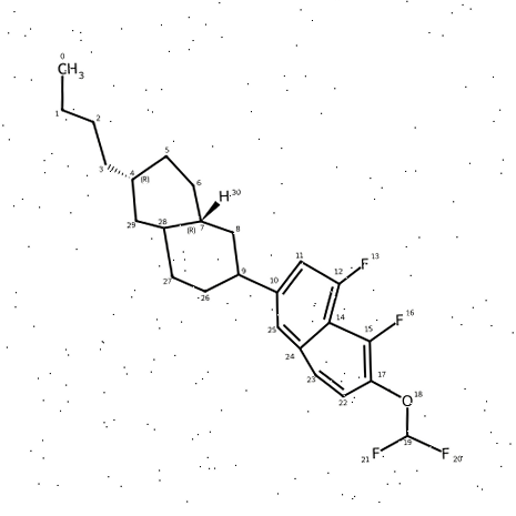 CCCC[C@@H]1CC[C@@H]2CC(c3cc(F)c4c(F)c(OC(F)F)ccc4c3)CCC2C1